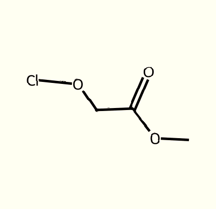 COC(=O)COCl